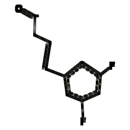 O=[C]CC=Cc1cc(F)cc(F)c1